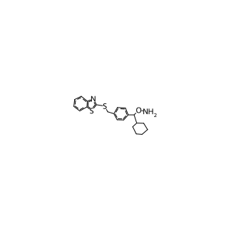 NOC(c1ccc(CSc2nc3ccccc3s2)cc1)C1CCCCC1